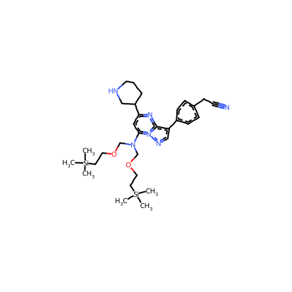 C[Si](C)(C)CCOCN(COCC[Si](C)(C)C)c1cc(C2CCCNC2)nc2c(-c3ccc(CC#N)cc3)cnn12